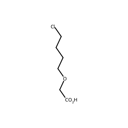 O=C(O)COCCCCCl